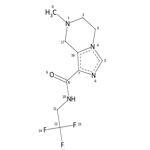 CN1CCn2cnc(C(=O)NCC(F)(F)F)c2C1